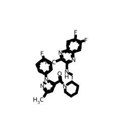 Cc1cc(C(=O)N2CCCC[C@H]2CNc2nc3cc(F)c(F)cc3nc2C)n(-c2ccc(F)cc2)n1